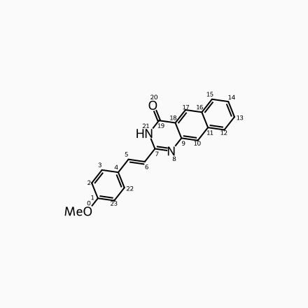 COc1ccc(C=Cc2nc3cc4ccccc4cc3c(=O)[nH]2)cc1